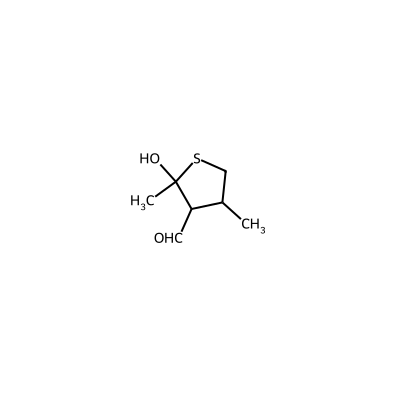 CC1CSC(C)(O)C1C=O